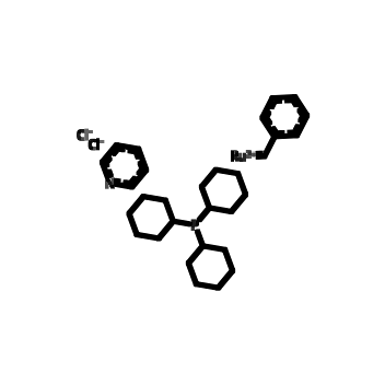 C1CCC(P(C2CCCCC2)C2CCCCC2)CC1.[Cl-].[Cl-].[Ru+2]=[CH]c1ccccc1.c1ccncc1